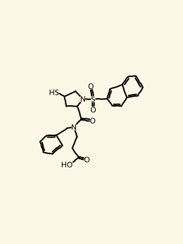 O=C(O)CCN(Cc1ccccc1)C(=O)C1CC(S)CN1S(=O)(=O)c1ccc2ccccc2c1